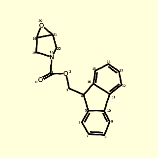 O=C(OCC1c2ccccc2-c2ccccc21)N1CC2OC2C1